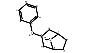 CN1C2CCC1CC(Oc1ccccc1)C2